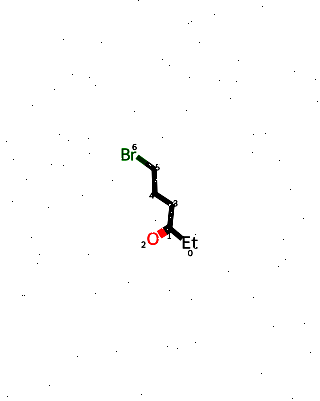 CCC(=O)CCCBr